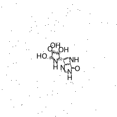 O=c1[nH]cnc2c([C@@H]3N[C@H](CO)[C@@H](OO)[C@H]3O)c[nH]c12